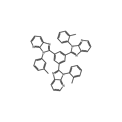 Cc1cccc(-n2c(-c3cc(-c4nc5cccnc5n4-c4ccccc4C)cc(-c4nc5cccnc5n4-c4ccccc4C)c3)nc3cccnc32)c1